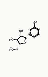 CC(=O)c1ccc[n+]([C@@H]2O[C@H](CO)C(O)[C@@H]2O)c1